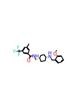 COc1ccccc1CN[C@H]1CC[C@@H](CNC(=O)c2cc(C)cc(C(F)(F)F)c2)CC1